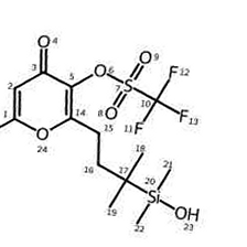 Cc1cc(=O)c(OS(=O)(=O)C(F)(F)F)c(CCC(C)(C)[Si](C)(C)O)o1